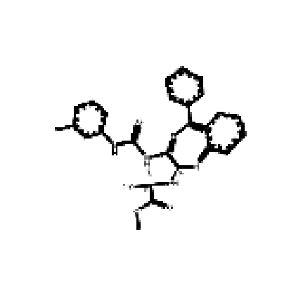 COC(=O)[C@@](C)(O)N[C@@H]1N=c2ccccc2=C(c2ccccc2)N=C1NC(=O)Nc1cccc(C)c1